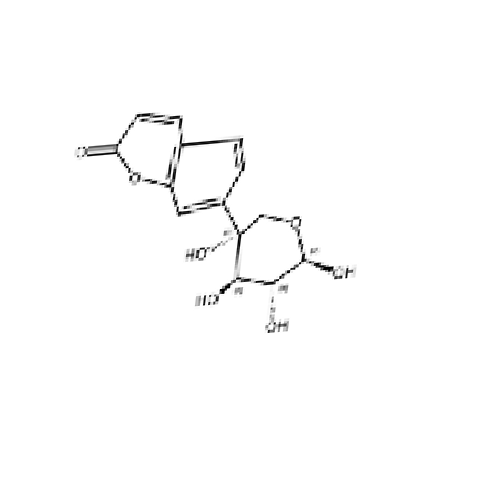 O=c1ccc2ccc([C@@]3(O)CO[C@@H](O)[C@H](O)[C@H]3O)cc2o1